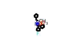 CS(=O)(=O)c1ccccc1C1(c2ccc(F)cc2)C=NN(CCc2ccccc2)C1